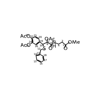 COC(=O)CCNC(=O)[C@@H](OC(C)=O)C(SCc1ccccc1)c1ccc(OC(C)=O)c(OC(C)=O)c1